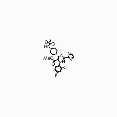 COC(=O)C1=C([C@H]2CC[C@@H](NS(C)(=O)=O)CC2)NC(c2nccs2)=NC1c1ccc(F)cc1Cl